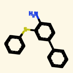 Nc1ccc(-c2ccccc2)cc1Sc1ccccc1